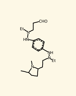 CCN(CCC=O)Nc1ccc(NN(CC)CCC2CCC(C)N2C)cc1